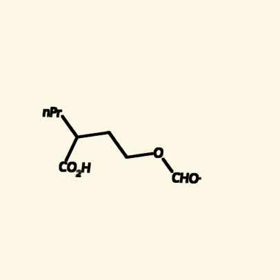 CCCC(CCO[C]=O)C(=O)O